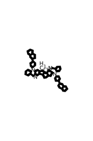 CC1(C)c2cc(N(c3ccc(-c4ccc5ccccc5c4)cc3)c3ccccc3C#N)ccc2-c2ccc3cc(N(c4ccc(-c5ccc6ccccc6c5)cc4)c4ccccc4C#N)ccc3c21